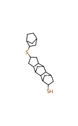 SC1CC2CC1C1C3CC(C4CC(SC5CC6CCC5C6)CC43)C21